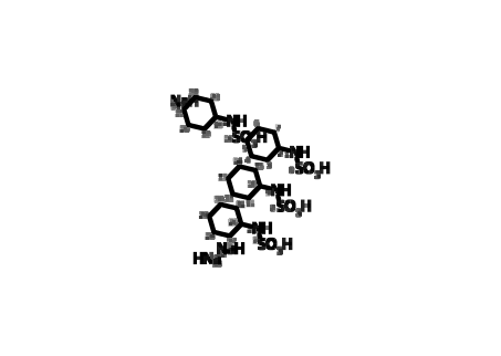 O=S(=O)(O)NC1CCCCC1.O=S(=O)(O)NC1CCCCC1.O=S(=O)(O)NC1CCCCC1.O=S(=O)(O)NC1CCCCC1.[NaH].[NaH].[NaH]